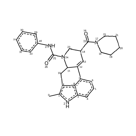 Cc1[nH]c2cccc3c2c1CC1C3=CC(C(=O)N2CCCCC2)CN1C(=O)Nc1ccccc1